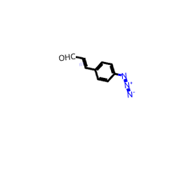 [N-]=[N+]=Nc1ccc(/C=C/C=O)cc1